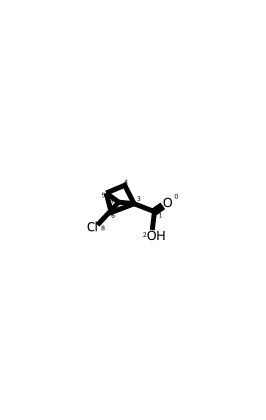 O=C(O)C12CC(C1)C2Cl